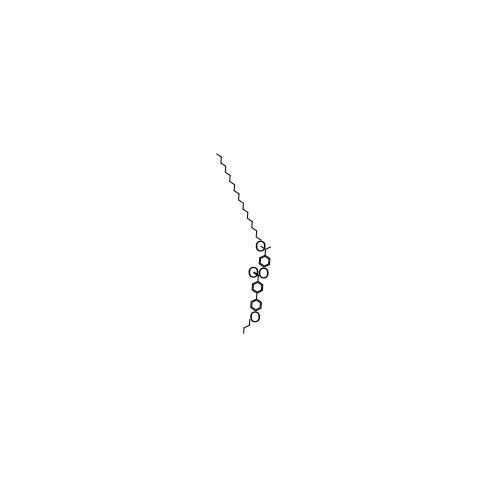 CCCCCCCCCCCCCCCCCCCCOC(C)c1ccc(OC(=O)c2ccc(-c3ccc(OCCCC)cc3)cc2)cc1